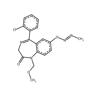 CN=NOc1ccc2c(c1)C(c1ccccc1Cl)=NCC(=O)N2COC